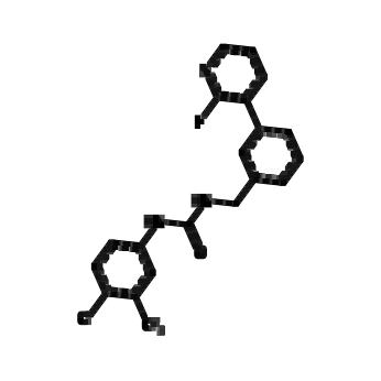 O=C(NCc1cccc(-c2cccnc2F)c1)Nc1ccc(Cl)c(C(F)(F)F)c1